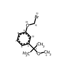 COC(C)(C)c1cccc(OCBr)c1